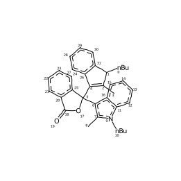 CCCCC1C(C)=C(C2(c3c(C)n(CCCC)c4ccccc34)OC(=O)c3ccccc32)c2ccccc21